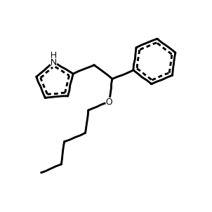 CCCCCOC(Cc1ccc[nH]1)c1ccccc1